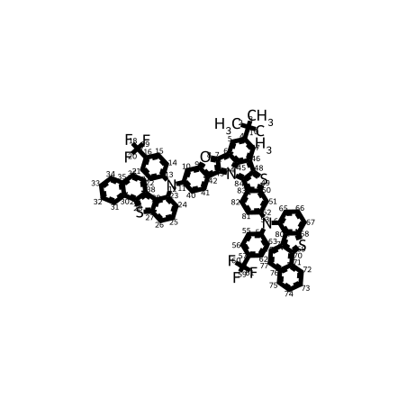 CC(C)(C)c1cc2c3oc4cc(N(c5ccc(C(F)(F)F)cc5)c5cccc6sc7c8ccccc8ccc7c56)ccc4c3n3c2c(c1)c1sc2cc(N(c4ccc(C(F)(F)F)cc4)c4cccc5sc6c7ccccc7ccc6c45)ccc2c13